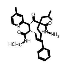 CCCC(CC(C)C)(C(=O)NN)C(=O)[C@@H](c1cc(C)ccn1)[C@H](C/C=C/c1ccccc1)C(=O)NO.Cl